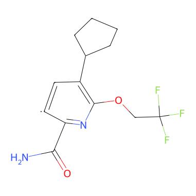 NC(=O)c1[c]cc(C2CCCC2)c(OCC(F)(F)F)n1